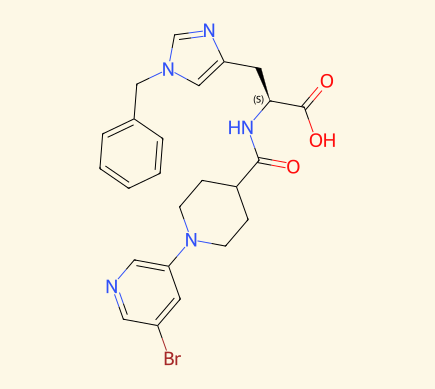 O=C(N[C@@H](Cc1cn(Cc2ccccc2)cn1)C(=O)O)C1CCN(c2cncc(Br)c2)CC1